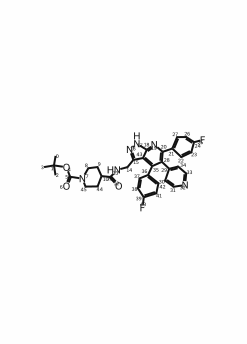 CC(C)(C)OC(=O)N1CCC(C(=O)NCc2n[nH]c3nc(-c4ccc(F)cc4)c(-c4ccncc4)c(-c4ccc(F)cc4)c23)CC1